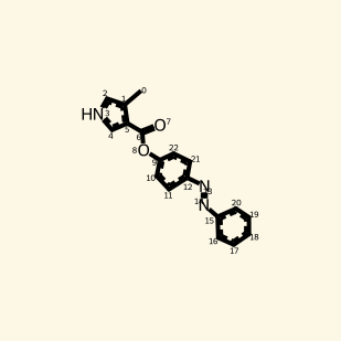 Cc1c[nH]cc1C(=O)Oc1ccc(N=Nc2ccccc2)cc1